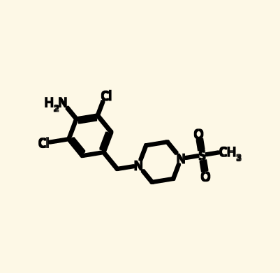 CS(=O)(=O)N1CCN(Cc2cc(Cl)c(N)c(Cl)c2)CC1